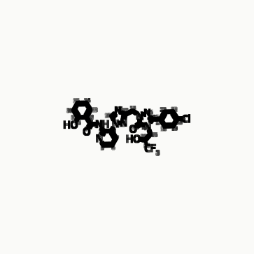 O=C(Nc1ncccc1-n1cnc(Cn2nc(-c3ccc(Cl)cc3)n(C[C@H](O)C(F)(F)F)c2=O)n1)c1ccccc1O